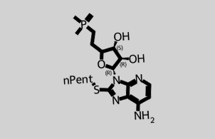 C=P(C)(C)CCC1O[C@@H](n2c(SCCCCC)nc3c(N)ccnc32)[C@H](O)[C@@H]1O